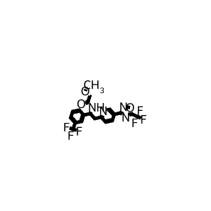 COCC(=O)NC(Cc1ccc(-c2noc(C(F)(F)F)n2)cn1)c1cccc(C(F)(F)F)c1